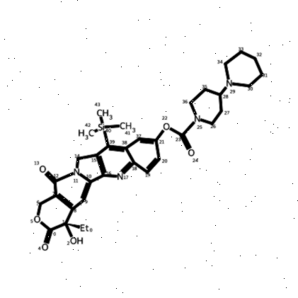 CC[C@@]1(O)C(=O)OCc2c1cc1n(c2=O)Cc2c-1nc1ccc(OC(=O)N3CCC(N4CCCCC4)CC3)cc1c2[Si](C)(C)C